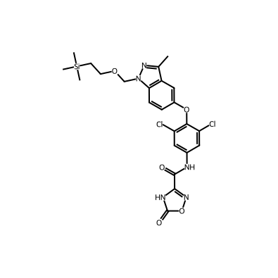 Cc1nn(COCC[Si](C)(C)C)c2ccc(Oc3c(Cl)cc(NC(=O)c4noc(=O)[nH]4)cc3Cl)cc12